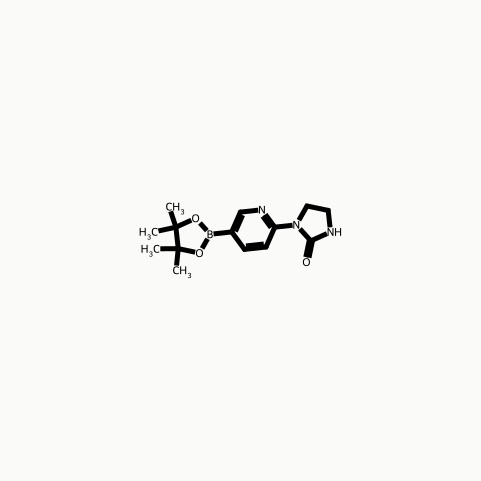 CC1(C)OB(c2ccc(N3CCNC3=O)nc2)OC1(C)C